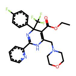 CCOC(=O)C1=C(CN2CCOCC2)NC(c2ccccn2)=NC1(c1ccc(F)cc1)C(F)(F)F